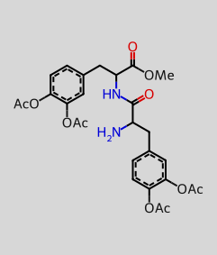 COC(=O)C(Cc1ccc(OC(C)=O)c(OC(C)=O)c1)NC(=O)C(N)Cc1ccc(OC(C)=O)c(OC(C)=O)c1